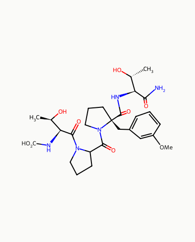 COc1cccc(C[C@]2(C(=O)N[C@H](C(N)=O)[C@@H](C)O)CCCN2C(=O)C2CCCN2C(=O)[C@@H](NC(=O)O)[C@@H](C)O)c1